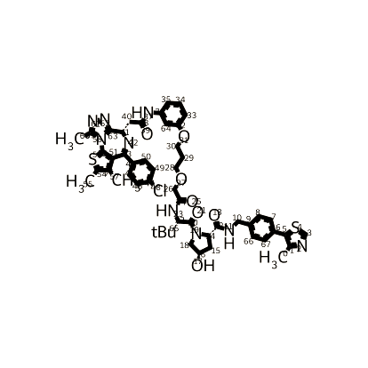 Cc1ncsc1-c1ccc(CNC(=O)[C@@H]2C[C@@H](O)CN2C(=O)[C@@H](NC(=O)COCCCOc2cccc(NC(=O)C[C@@H]3N=C(c4ccc(Cl)cc4)c4c(sc(C)c4C)-n4c(C)nnc43)c2)C(C)(C)C)cc1